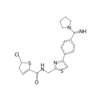 N=C(c1ccc(-c2csc(CNC(=O)C3=CCC(Cl)S3)n2)cc1)N1CCCC1